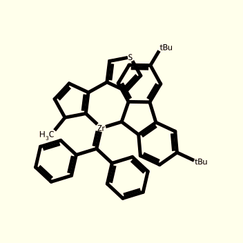 CC1C=CC(c2ccsc2)=[C]1[Zr](=[C](c1ccccc1)c1ccccc1)[CH]1c2ccc(C(C)(C)C)cc2-c2cc(C(C)(C)C)ccc21